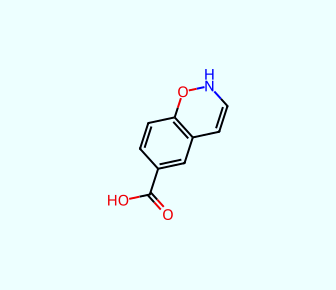 O=C(O)c1ccc2c(c1)C=CNO2